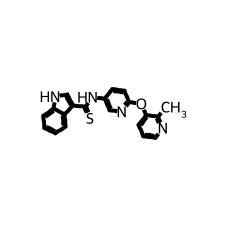 Cc1ncccc1Oc1ccc(NC(=S)c2c[nH]c3ccccc23)cn1